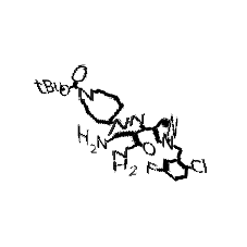 CC(C)(C)OC(=O)N1CCCC(n2nc(-c3cnn(Cc4cc(F)ccc4Cl)c3)c(C(N)=O)c2N)CCC1